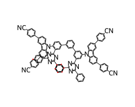 N#Cc1ccc(-c2ccc3c(c2)c2cc(-c4ccc(C#N)cc4)ccc2n3-c2cc(-c3cccc(-c4ccc(-n5c6ccc(-c7ccc(C#N)cc7)cc6c6cc(-c7ccc(C#N)cc7)ccc65)c(-c5nc(-c6ccccc6)nc(-c6ccccc6)n5)c4)c3)cc(-c3nc(-c4ccccc4)nc(-c4ccccc4)n3)c2)cc1